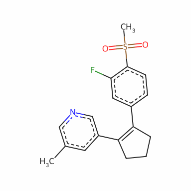 Cc1cncc(C2=C(c3ccc(S(C)(=O)=O)c(F)c3)CCC2)c1